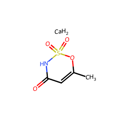 CC1=CC(=O)NS(=O)(=O)O1.[CaH2]